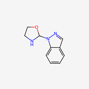 c1ccc2c(c1)cnn2[C]1NCCO1